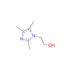 Cc1nc(C)n(CCO)c1C